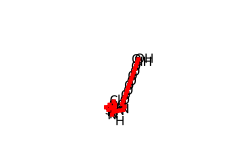 Cc1sc2c(c1C)C(c1ccc(Cl)cc1)=N[C@@H](CC(=O)Nc1cncc(OCCOCCOCCOCCOCCOCCOCCOCCOCCNC(=O)O)c1)c1nnc(C)n1-2